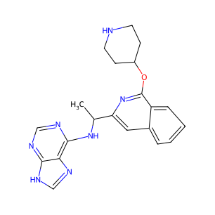 CC(Nc1ncnc2[nH]cnc12)c1cc2ccccc2c(OC2CCNCC2)n1